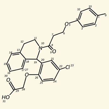 Cc1ccc(OCCC(=O)N2CCc3ccccc3C2c2cc(Cl)ccc2OCC(=O)O)cc1